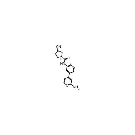 N#CN1CC[C@H](C(=O)Nc2cc(-c3ccnc(N)c3)ccn2)C1